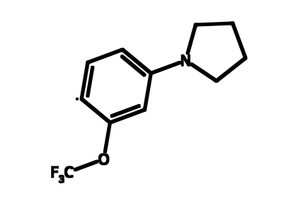 FC(F)(F)Oc1[c]ccc(N2CCCC2)c1